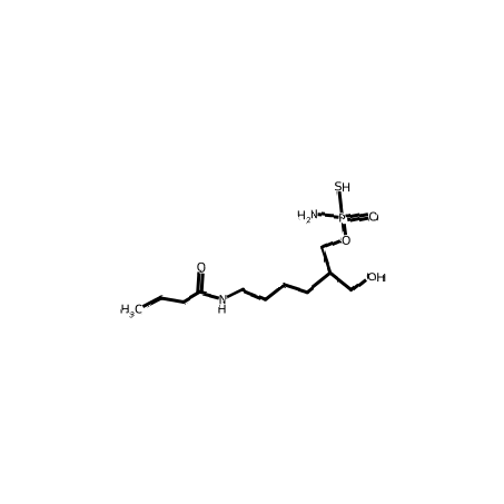 CCCC(=O)NCCCCC(CO)COP(N)(=O)S